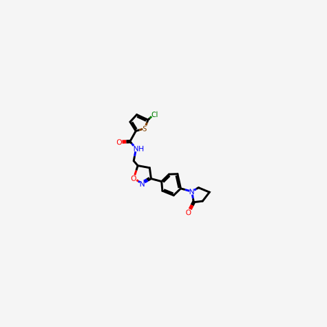 O=C(NCC1CC(c2ccc(N3CCCC3=O)cc2)=NO1)c1ccc(Cl)s1